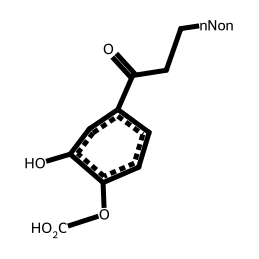 CCCCCCCCCCCC(=O)c1ccc(OC(=O)O)c(O)c1